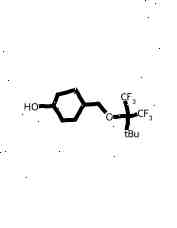 CC(C)(C)C(OCC1CCC(O)CC1)(C(F)(F)F)C(F)(F)F